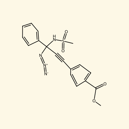 COC(=O)c1ccc(C#CC(N=[N+]=[N-])(NS(C)(=O)=O)c2ccccc2)cc1